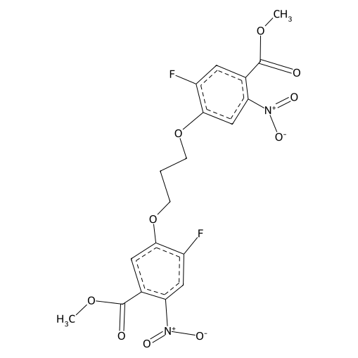 COC(=O)c1cc(OCCCOc2cc([N+](=O)[O-])c(C(=O)OC)cc2F)c(F)cc1[N+](=O)[O-]